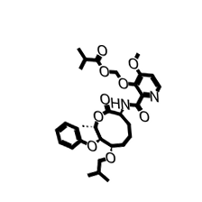 COc1ccnc(C(=O)N[C@H]2CCC[C@H](OCC(C)C)[C@@H](Oc3ccccc3)[C@H](C)OC2=O)c1OCOC(=O)C(C)C